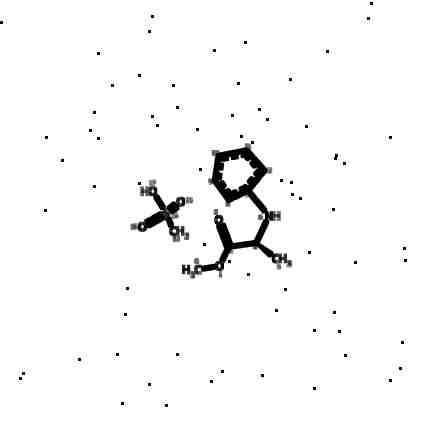 COC(=O)[C@H](C)Nc1ccccc1.CS(=O)(=O)O